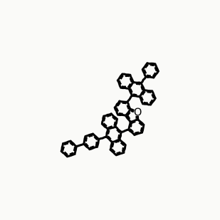 c1ccc(-c2ccc(-c3c4ccccc4c(-c4cccc5oc6c(-c7c8ccccc8c(-c8ccccc8)c8ccccc78)cccc6c45)c4ccccc34)cc2)cc1